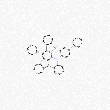 CC1(C)c2ccccc2-c2c(-c3ccccc3)c3c4c(c21)N(c1ccc(-c2ccccc2)cc1)c1ccccc1C4(C)c1ccccc1-3